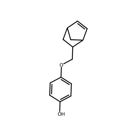 Oc1ccc(OCC2CC3C=CC2C3)cc1